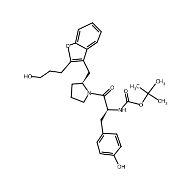 CC(C)(C)OC(=O)N[C@@H](Cc1ccc(O)cc1)C(=O)N1CCC[C@H]1Cc1c(CCCO)oc2ccccc12